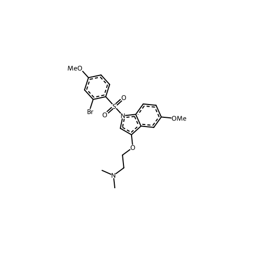 COc1ccc(S(=O)(=O)n2cc(OCCN(C)C)c3cc(OC)ccc32)c(Br)c1